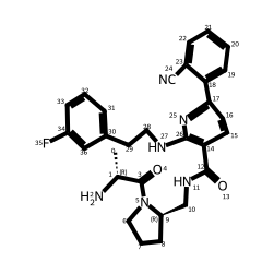 C[C@@H](N)C(=O)N1CCC[C@@H]1CNC(=O)c1ccc(-c2ccccc2C#N)nc1NCCc1cccc(F)c1